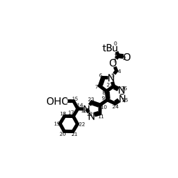 CC(C)(C)C(=O)OCn1ccc2c(-c3cnn(C(CC=O)C4CCCCC4)c3)cnnc21